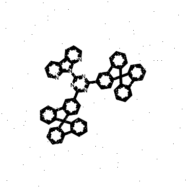 c1ccc2c(c1)-c1ccccc1C21c2ccccc2-c2cc(-c3nc(-c4ccc5c(c4)-c4ccccc4C54c5ccccc5-c5ccccc54)nc(-n4c5ncccc5c5cccnc54)n3)ccc21